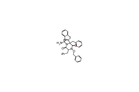 CC(C)CC1C(=O)N(C(N)=O)C(Cc2ccccc2)(c2nc3ccccc3s2)C(=O)N1OCc1ccccc1